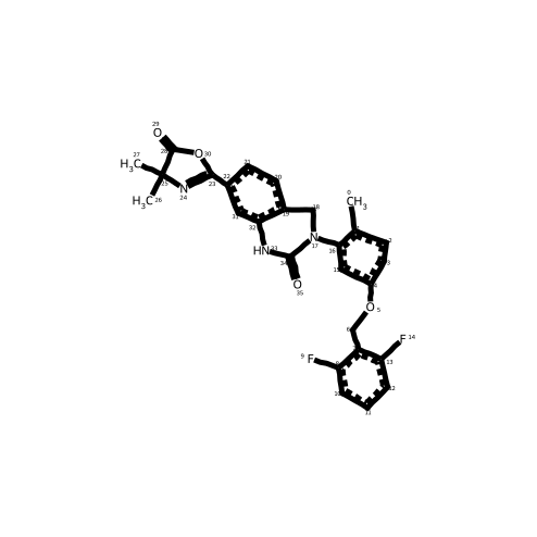 Cc1ccc(OCc2c(F)cccc2F)cc1N1Cc2ccc(C3=NC(C)(C)C(=O)O3)cc2NC1=O